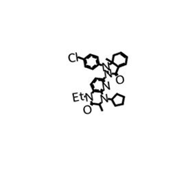 CCN1C(=O)C(C)N(C2CCCC2)c2nc(N3C(=O)C4=CC=CCC4(C)N3c3ccc(Cl)cc3)ccc21